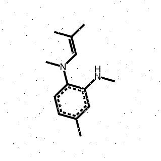 CNc1cc(C)ccc1N(C)C=C(C)C